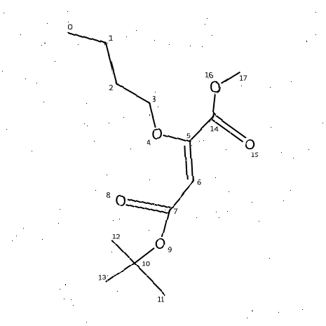 CCCCO/C(=C\C(=O)OC(C)(C)C)C(=O)OC